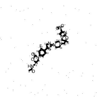 CC(=O)NC[C@H]1CN(c2ccc(-c3cnc(N4CCN(CC5(C)Cn6cc([N+](=O)[O-])nc6O5)CC4)s3)c(F)c2)C(=O)O1